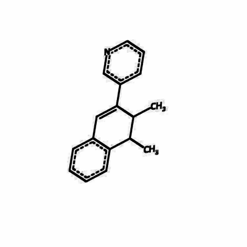 CC1C(c2cccnc2)=Cc2ccccc2C1C